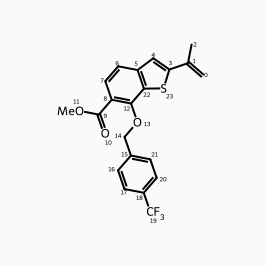 C=C(C)c1cc2ccc(C(=O)OC)c(OCc3ccc(C(F)(F)F)cc3)c2s1